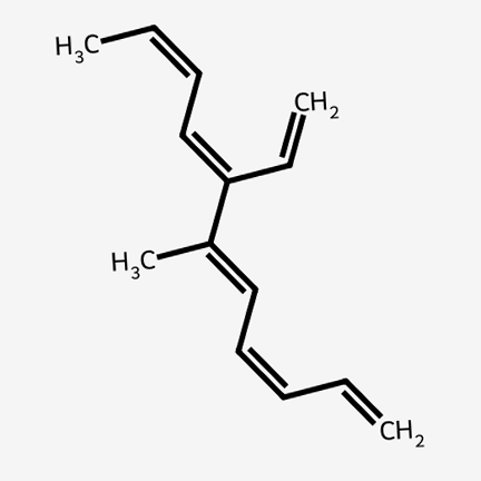 C=C\C=C/C=C(C)/C(C=C)=C/C=C\C